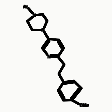 COc1ccc(CCc2ccc(N3CCN(C(C)=O)CC3)cn2)cc1